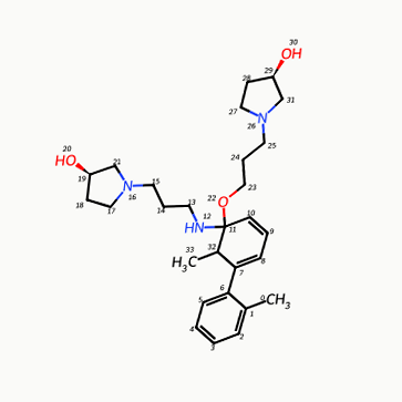 Cc1ccccc1C1=CC=CC(NCCCN2CC[C@@H](O)C2)(OCCCN2CC[C@@H](O)C2)C1C